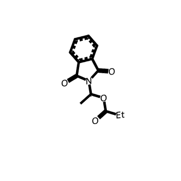 CCC(=O)O[C](C)N1C(=O)c2ccccc2C1=O